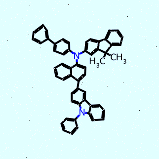 CC1(C)c2ccccc2-c2ccc(N(c3ccc(-c4ccccc4)cc3)c3ccc(-c4ccc5c(c4)c4ccccc4n5-c4ccccc4)c4ccccc34)cc21